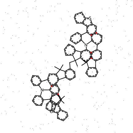 CC1(C)c2ccccc2-c2ccc(-c3ccccc3N(c3ccccc3-c3cccc4sc5ccccc5c34)c3cccc4c3-c3ccccc3C4(C)Cc3cccc4c3C(C)(C)c3cc(-c5ccccc5N(c5ccccc5-c5cccc6c5oc5ccccc56)c5cccc6c5-c5ccccc5C6(C)C)ccc3-4)cc21